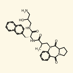 CC(CN1C(=O)C2CCCN2C(=O)c2ccccc21)C(=O)N[C@H](Cc1ccc2ccccc2c1)C(=O)NCC(O)CN